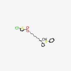 N#C/C(=C\CCCCCCCOC(=O)c1ccc(Cl)s1)c1ccccc1Sc1ccccc1